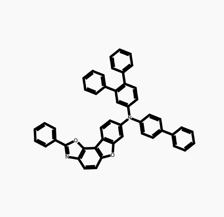 c1ccc(-c2ccc(N(c3ccc(-c4ccccc4)c(-c4ccccc4)c3)c3ccc4c(c3)oc3ccc5nc(-c6ccccc6)oc5c34)cc2)cc1